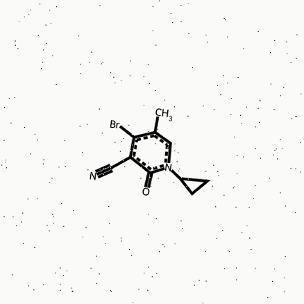 Cc1cn(C2CC2)c(=O)c(C#N)c1Br